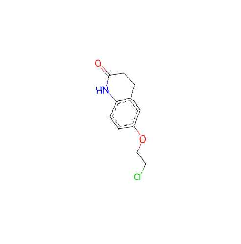 O=C1CCc2cc(OCCCl)ccc2N1